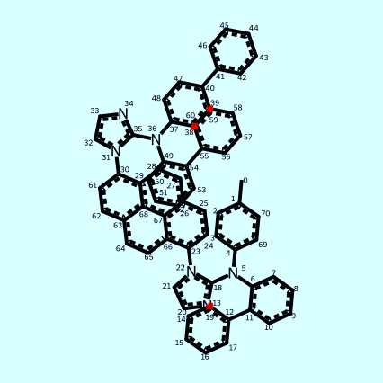 Cc1ccc(N(c2ccccc2-c2ccccc2)c2nccn2-c2ccc3ccc4c(-n5ccnc5N(c5ccc(-c6ccccc6)cc5)c5ccccc5-c5ccccc5)ccc5ccc2c3c54)cc1